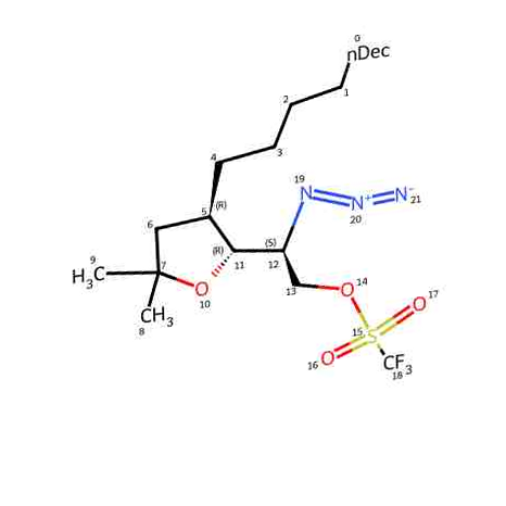 CCCCCCCCCCCCCC[C@@H]1CC(C)(C)O[C@H]1[C@H](COS(=O)(=O)C(F)(F)F)N=[N+]=[N-]